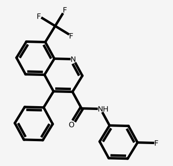 O=C(Nc1cccc(F)c1)c1cnc2c(C(F)(F)F)cccc2c1-c1ccccc1